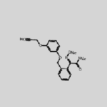 C#CCOc1cccc(OCc2ccccc2/C(=N/OC)C(=O)NC)c1